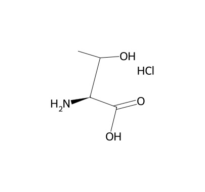 CC(O)[C@H](N)C(=O)O.Cl